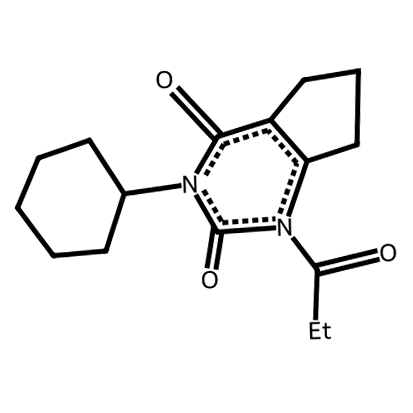 CCC(=O)n1c2c(c(=O)n(C3CCCCC3)c1=O)CCC2